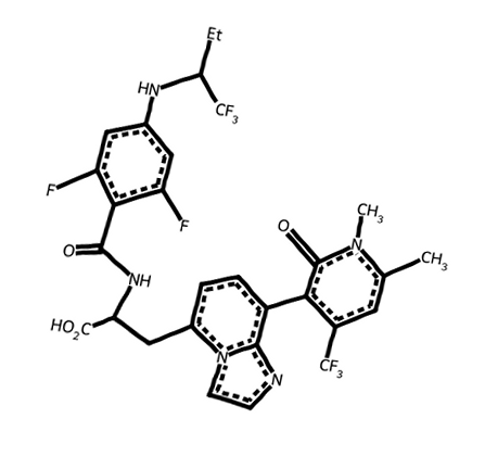 CCC(Nc1cc(F)c(C(=O)NC(Cc2ccc(-c3c(C(F)(F)F)cc(C)n(C)c3=O)c3nccn23)C(=O)O)c(F)c1)C(F)(F)F